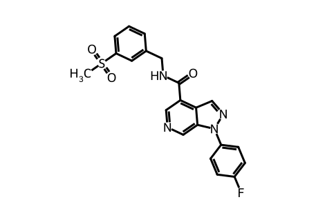 CS(=O)(=O)c1cccc(CNC(=O)c2cncc3c2cnn3-c2ccc(F)cc2)c1